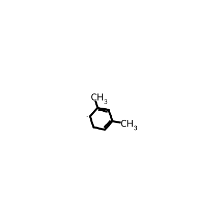 CC1=CC(C)=CC[CH]1